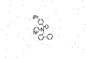 CC(C)c1ccc(C(=O)N(Cc2ccccc2-c2ccccc2)c2cccnc2)cc1